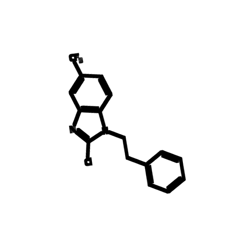 FC(F)(F)c1ccc2c(c1)nc(Cl)n2CCc1ccccc1